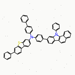 c1ccc(-c2ccc(N(c3ccc(-c4ccc5c6ccc7ccccc7c6n(-c6ccccc6)c5c4)cc3)c3ccc4c(c3)sc3cc(-c5ccccc5)ccc34)cc2)cc1